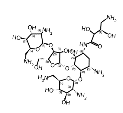 NC[C@@H](O)C(O)C(=O)N[C@@H]1C[C@H](N)[C@@H](O[C@H]2O[C@H](CN)[C@@H](O)[C@H](O)[C@H]2N)[C@H](O[C@@H]2O[C@H](CO)[C@@H](O[C@H]3O[C@@H](CN)[C@@H](O)[C@H](O)[C@H]3N)[C@H]2O)[C@H]1O